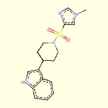 Cn1cnc(S(=O)(=O)N2CCC(c3c[nH]c4ccccc34)CC2)c1